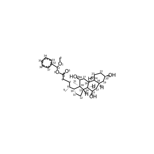 COC(OC(=O)CC[C@@H](C)[C@H]1CC[C@H]2[C@@H]3[C@H](O)C[C@@H]4C[C@H](O)CC[C@]4(C)[C@H]3C[C@H](O)[C@]12C)c1ccccc1